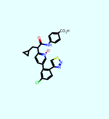 O=C(O)c1ccc(NC(=O)C(CC2CC2)c2ccc(-c3cc(Cl)ccc3-c3csnn3)c[n+]2[O-])cc1